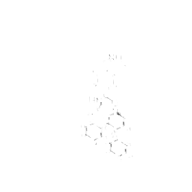 NCC1CCC(C(=O)NC(Cc2ccccc2)c2cc(-c3ccccc3)ccn2)CC1